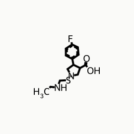 CCNCSN1CC(C(=O)O)C(c2ccc(F)cc2)C1